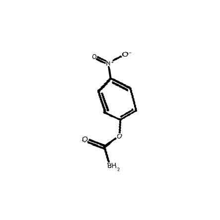 BC(=O)Oc1ccc([N+](=O)[O-])cc1